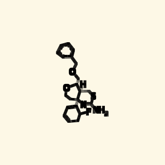 NC1=N[C@@]2(C3=CC=CCC3F)CCO[C@H](COCc3ccccc3)[C@H]2CS1